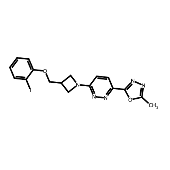 Cc1nnc(-c2ccc(N3CC(COc4ccccc4I)C3)nn2)o1